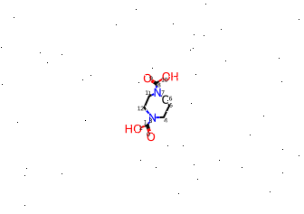 O=C(O)N1CCCN(C(=O)O)CC1